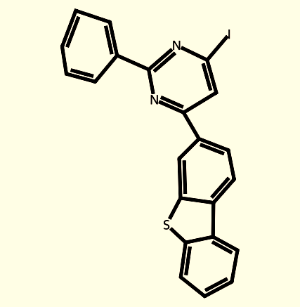 Ic1cc(-c2ccc3c(c2)sc2ccccc23)nc(-c2ccccc2)n1